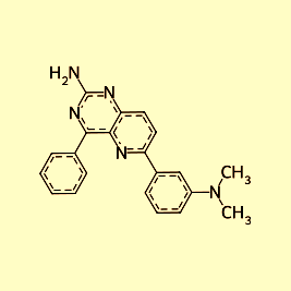 CN(C)c1cccc(-c2ccc3nc(N)nc(-c4ccccc4)c3n2)c1